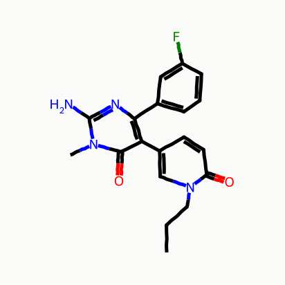 CCCn1cc(-c2c(-c3cccc(F)c3)nc(N)n(C)c2=O)ccc1=O